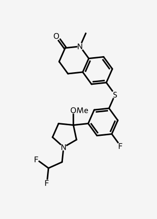 COC1(c2cc(F)cc(Sc3ccc4c(c3)CCC(=O)N4C)c2)CCN(CC(F)F)C1